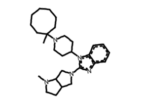 CN1CCC2CN(c3nc4ccccc4n3C3CCN(C4(C)CCCCCCC4)CC3)CC21